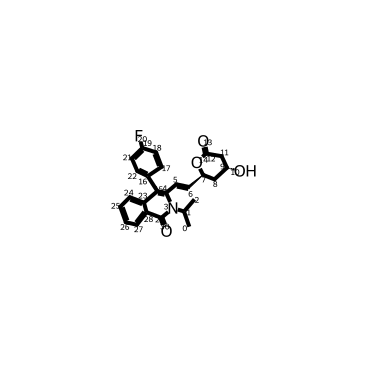 CC(C)n1c(C=C[C@@H]2C[C@@H](O)CC(=O)O2)c(-c2ccc(F)cc2)c2ccccc2c1=O